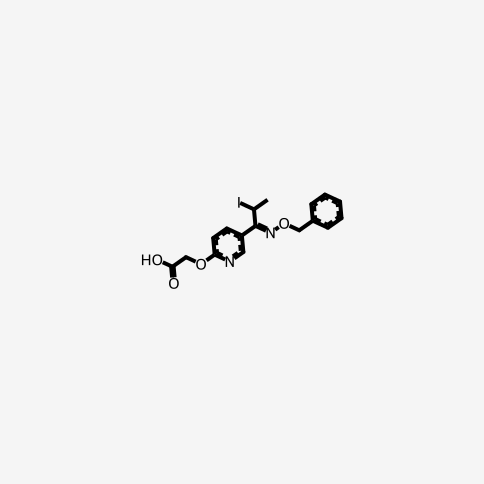 CC(I)C(=NOCc1ccccc1)c1ccc(OCC(=O)O)nc1